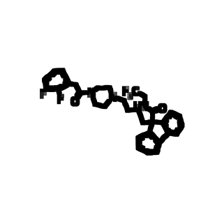 O=C(Cc1cccc(F)c1F)N1CCN(CCCCC2(C(=O)NCC(F)(F)F)c3ccccc3-c3ccccc32)CC1